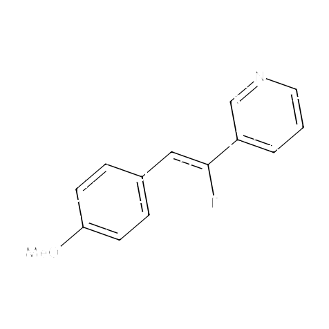 COc1ccc(C=C(F)c2cccnc2)cc1